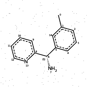 Cc1cccc([C@H](N)c2ccccn2)c1